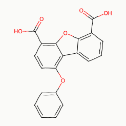 O=C(O)c1cccc2c1oc1c(C(=O)O)ccc(Oc3ccccc3)c12